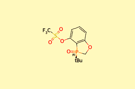 CC(C)(C)[P@]1(=O)COc2cccc(OS(=O)(=O)C(F)(F)F)c21